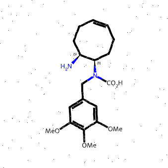 COc1cc(CN(C(=O)O)[C@@H]2CCC=CCC[C@@H]2N)cc(OC)c1OC